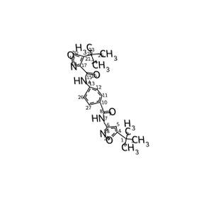 CC(C)(C)c1cc(NC(=O)c2ccc(NC(=O)c3nocc3C(C)(C)C)cc2)no1